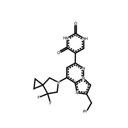 CC(C)Cc1cn2nc(-c3c[nH]c(=O)[nH]c3=O)cc(N3CC(F)(F)C4(CC4)C3)c2n1